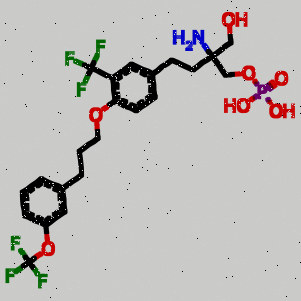 NC(CO)(CCc1ccc(OCCCc2cccc(OC(F)(F)F)c2)c(C(F)(F)F)c1)COP(=O)(O)O